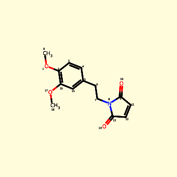 COc1ccc(CCN2C(=O)C=CC2=O)cc1OC